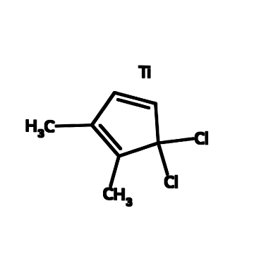 CC1=C(C)C(Cl)(Cl)C=C1.[Ti]